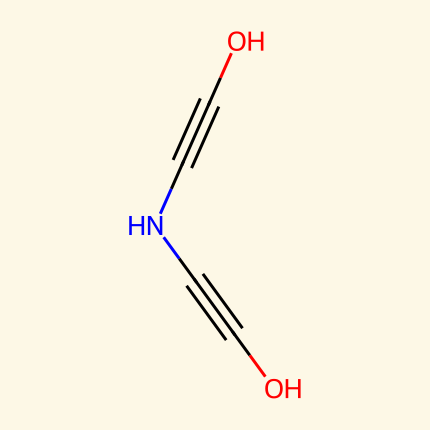 OC#CNC#CO